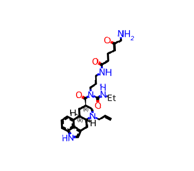 C=CCN1C[C@H](C(=O)N(CCCNC(=O)CCCC(=O)CN)C(=O)NCC)C[C@@H]2c3cccc4[nH]cc(c34)C[C@H]21